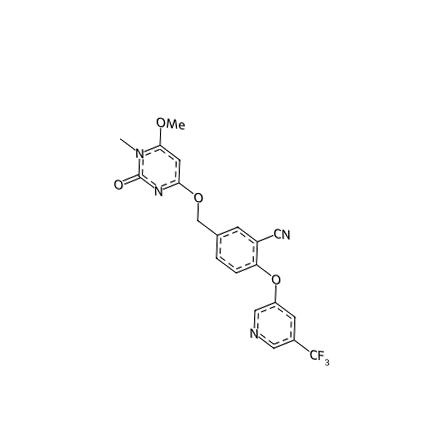 COc1cc(OCc2ccc(Oc3cncc(C(F)(F)F)c3)c(C#N)c2)nc(=O)n1C